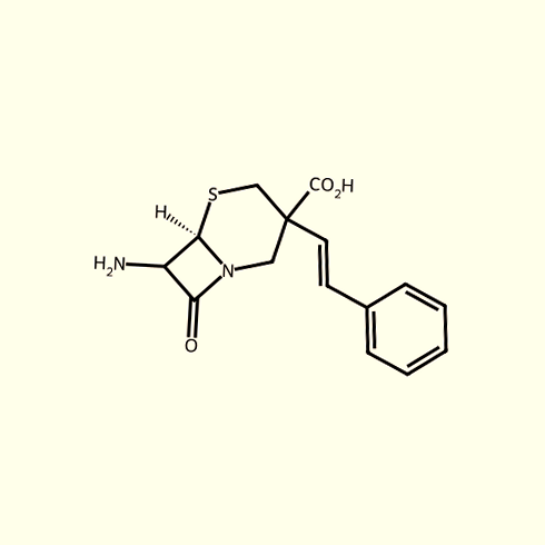 NC1C(=O)N2CC(C=Cc3ccccc3)(C(=O)O)CS[C@H]12